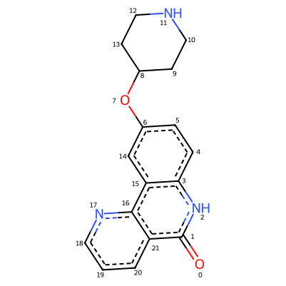 O=c1[nH]c2ccc(OC3CCNCC3)cc2c2ncccc12